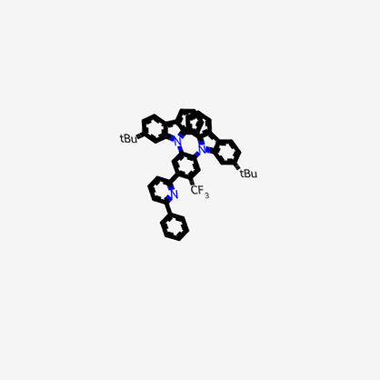 CC(C)(C)c1ccc2c3ccccc3n(-c3cc(-c4cccc(-c5ccccc5)n4)c(C(F)(F)F)cc3-n3c4ccccc4c4ccc(C(C)(C)C)cc43)c2c1